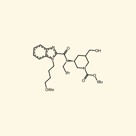 COCCCCn1c(C(=O)N(CC(C)C)[C@H]2CC(CO)CN(C(=O)OC(C)(C)C)C2)nc2ccccc21